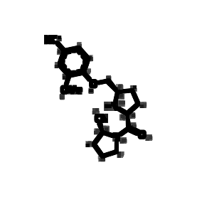 COc1cc(C#N)ccc1OC[C@H]1CC[C@@H](C(=O)N2CCC[C@H]2C#N)N1